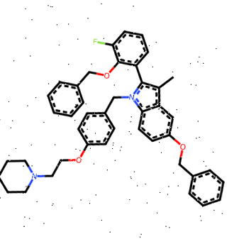 Cc1c(-c2cccc(F)c2OCc2ccccc2)n(Cc2ccc(OCCN3CCCCC3)cc2)c2ccc(OCc3ccccc3)cc12